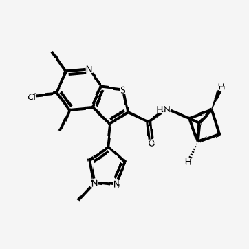 Cc1nc2sc(C(=O)NC3[C@H]4C[C@H]3C4)c(-c3cnn(C)c3)c2c(C)c1Cl